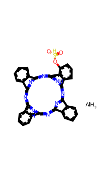 O=[SH](=O)Oc1cccc2c3nc4nc(nc5[nH]c(nc6nc(nc([nH]3)c12)-c1ccccc1-6)c1ccccc51)-c1ccccc1-4.[AlH3]